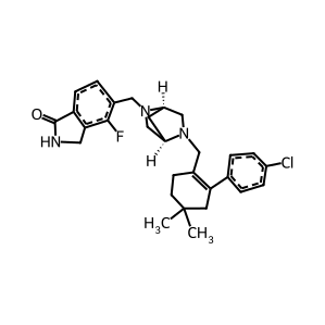 CC1(C)CCC(CN2C[C@H]3C[C@@H]2CN3Cc2ccc3c(c2F)CNC3=O)=C(c2ccc(Cl)cc2)C1